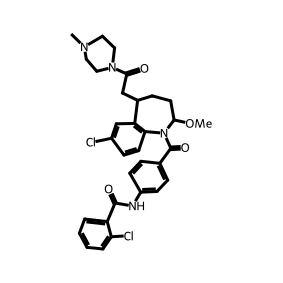 COC1CCC(CC(=O)N2CCN(C)CC2)c2cc(Cl)ccc2N1C(=O)c1ccc(NC(=O)c2ccccc2Cl)cc1